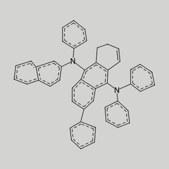 C1=Cc2c(c(N(c3ccccc3)c3ccc4ccccc4c3)c3ccc(-c4ccccc4)cc3c2N(c2ccccc2)c2ccccc2)CC1